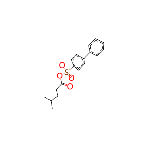 CC(C)CCC(=O)OS(=O)(=O)c1ccc(-c2ccccc2)cc1